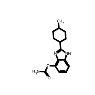 CC1CCC(c2nc3c(OC(N)=O)cccc3[nH]2)CC1